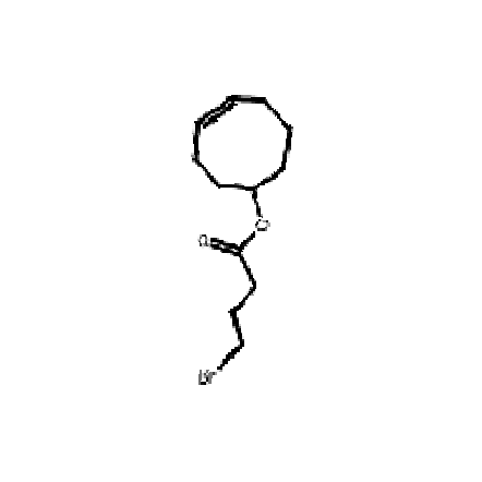 O=C(CCCBr)OC1CCC=CCCC1